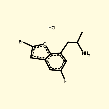 CC(N)Cc1cc(F)cc2cc(Br)oc12.Cl